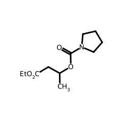 CCOC(=O)CC(C)OC(=O)N1CCCC1